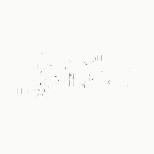 CC[C@H](C)[C@H](NC(=O)OC(C)(C)C)C(=O)NCC(=O)N1C[C@H](Oc2ccccc2)C[C@H]1C(=O)O